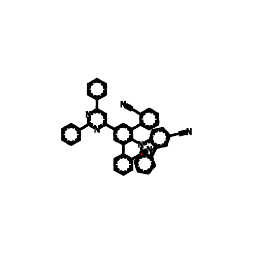 N#Cc1ccc2c(c1)c1ccccc1n2-c1c(-c2ccccc2C#N)cc(-c2cc(-c3ccccc3)nc(-c3ccccc3)n2)cc1-c1ccccc1C#N